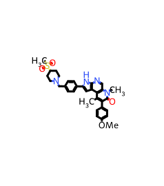 COc1ccc(-c2c(C)c3c4cc(-c5ccc(CN6CCC(S(C)(=O)=O)CC6)cc5)[nH]c4ncc3n(C)c2=O)cc1